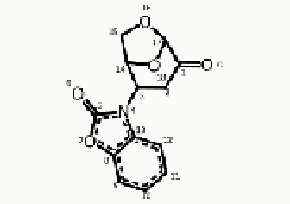 O=C1CC(n2c(=O)oc3ccccc32)C2COC1O2